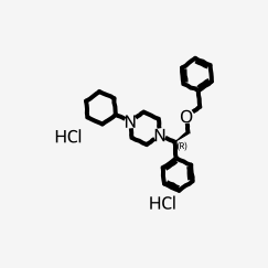 Cl.Cl.c1ccc(COC[C@@H](c2ccccc2)N2CCN(C3CCCCC3)CC2)cc1